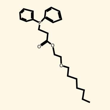 CCCCCCCOCCOC(=O)CCP(c1ccccc1)c1ccccc1